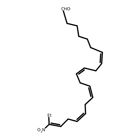 CC/C(=C\C/C=C\C/C=C\C/C=C\C/C=C\CCCCC[C]=O)[N+](=O)[O-]